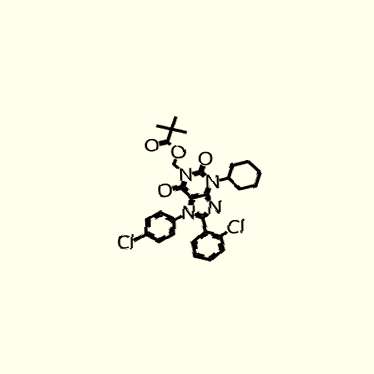 CC(C)(C)C(=O)OCn1c(=O)c2c(nc(-c3ccccc3Cl)n2-c2ccc(Cl)cc2)n(C2CCCCC2)c1=O